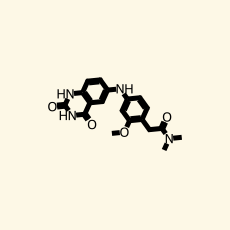 COc1cc(Nc2ccc3[nH]c(=O)[nH]c(=O)c3c2)ccc1CC(=O)N(C)C